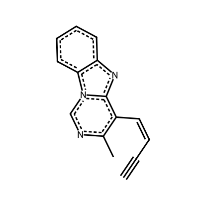 C#C/C=C\c1c(C)ncn2c1nc1ccccc12